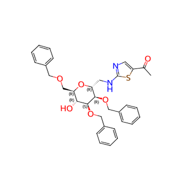 CC(=O)c1cnc(NC[C@H]2O[C@H](COCc3ccccc3)[C@@H](O)[C@H](OCc3ccccc3)[C@@H]2OCc2ccccc2)s1